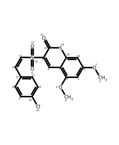 COc1cc(OC)c2cc(S(=O)(=O)/C=C\c3ccc(Cl)cc3)c(=O)sc2c1